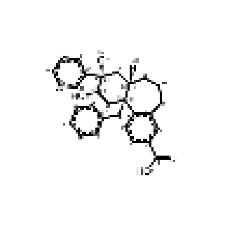 O=C(O)c1ccc2c(c1)CCC[C@H]1C[C@@](O)(c3ccccc3)[C@H](O)C[C@@]21Cc1ccccc1